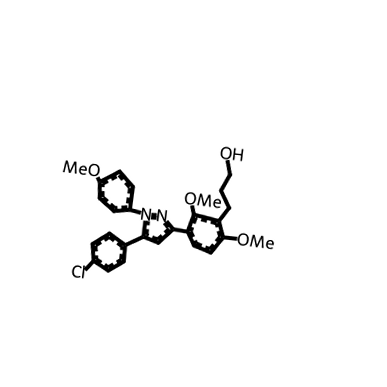 COc1ccc(-n2nc(-c3ccc(OC)c(CCCO)c3OC)cc2-c2ccc(Cl)cc2)cc1